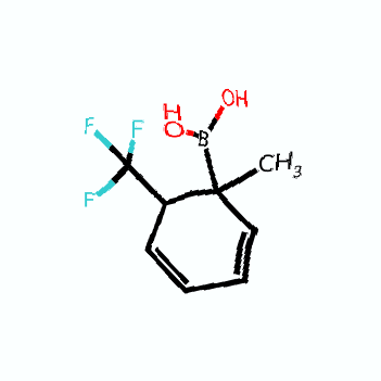 CC1(B(O)O)C=CC=CC1C(F)(F)F